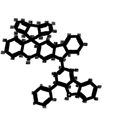 c1ccc(-c2nc(-n3c4ccccc4c4cc5c(cc43)Sc3ccccc3C53c4ccccc4-c4ccccc43)nc3c2oc2ccccc23)cc1